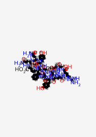 CC[C@H](C)[C@H](NC(=O)[C@H](CO)NC(=O)[C@@H](N)CCCNC(=N)N)C(=O)N[C@@H](CO)C(=O)N[C@@H](CCC(N)=O)C(=O)N[C@@H](Cc1ccc(O)cc1)C(=O)N[C@@H](CC(C)C)C(=O)N[C@@H](C)C(=O)N[C@@H](Cc1c[nH]c2ccccc12)C(=O)N[C@@H](Cc1ccc(O)cc1)C(=O)N[C@@H](CCC(N)=O)C(=O)N[C@@H](CCC(N)=O)C(=O)N[C@@H](CCCCN)C(=O)O